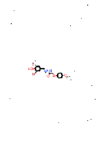 O=C(COc1ccc(OC(F)(F)F)cc1)N/N=C/c1cc(Br)c(O)c(Br)c1